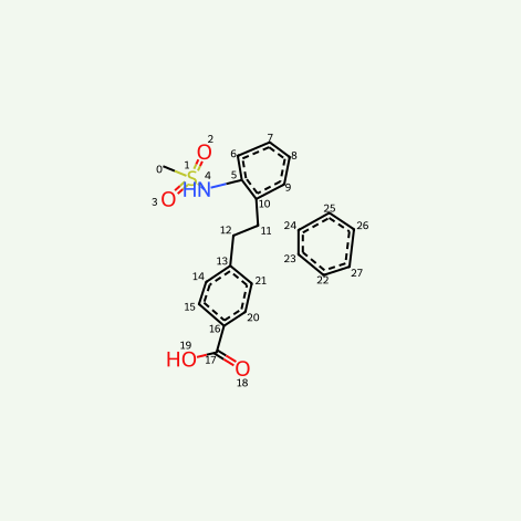 CS(=O)(=O)Nc1ccccc1CCc1ccc(C(=O)O)cc1.c1ccccc1